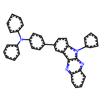 c1ccc(N(c2ccccc2)c2ccc(-c3ccc4c(c3)c3nc5ccccc5nc3n4-c3ccccc3)cc2)cc1